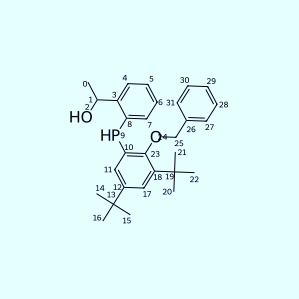 CC(O)c1ccccc1Pc1cc(C(C)(C)C)cc(C(C)(C)C)c1OCc1ccccc1